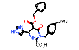 COc1ccc(CN(CC(=O)O)C(=O)C(C(=O)OCc2ccccc2)C(N)c2c[nH]cn2)cc1